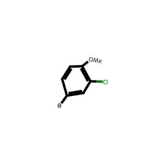 [B]c1ccc(OC)c(Cl)c1